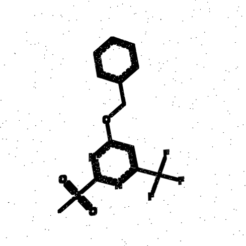 CS(=O)(=O)c1nc(OCc2ccccc2)cc(C(F)(F)F)n1